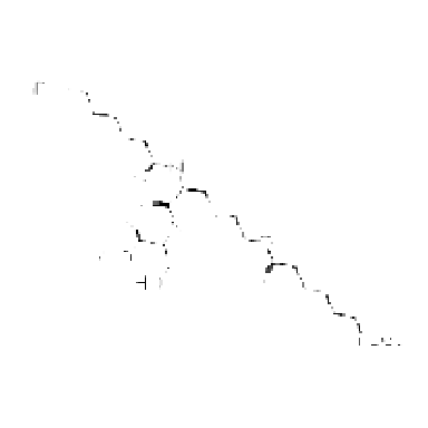 CCCCCCCCCCCCCCCC(=O)NC(CSCCOC(=O)CCCCCCCCCCCCCCC)C(=O)NC(CO)C(=O)OC